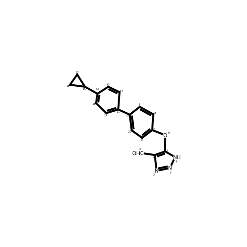 O=Cc1nn[nH]c1Oc1ccc(-c2ccc(C3CC3)cc2)cc1